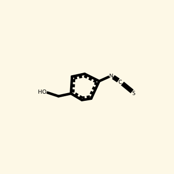 OCc1ccc(N=C=S)cc1